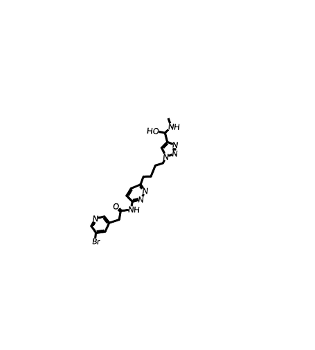 CNC(O)c1cn(CCCCc2ccc(NC(=O)Cc3cncc(Br)c3)nn2)nn1